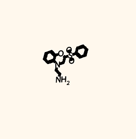 NCCN1CC(S(=O)(=O)c2ccccc2)Oc2ccccc21